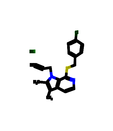 C#CCn1c(C)c(C)c2ccnc(SCc3ccc(Cl)cc3)c21.Cl